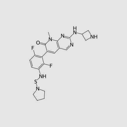 Cn1c(=O)c(-c2c(F)ccc(NSN3CCCC3)c2F)cc2cnc(NC3CNC3)nc21